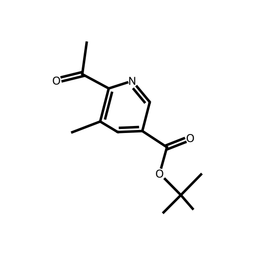 CC(=O)c1ncc(C(=O)OC(C)(C)C)cc1C